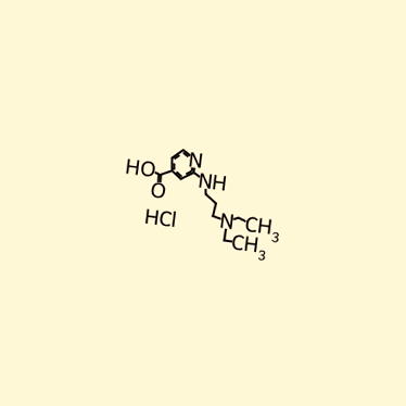 CCN(CC)CCCNc1cc(C(=O)O)ccn1.Cl